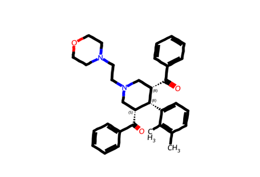 Cc1cccc([C@H]2[C@@H](C(=O)c3ccccc3)CN(CCN3CCOCC3)C[C@H]2C(=O)c2ccccc2)c1C